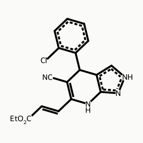 CCOC(=O)C=CC1=C(C#N)C(c2ccccc2Cl)c2c[nH]nc2N1